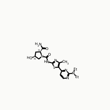 CCN(CC)c1nccc(-c2sc(NC(=O)N3C[C@@H](O)C[C@H]3C(N)=O)nc2C)n1